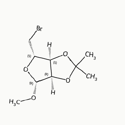 CO[C@@H]1O[C@H](CBr)[C@H]2OC(C)(C)O[C@@H]12